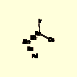 [Mn].[Os][Re][Ir].[Pd].[Rh].[Ru]